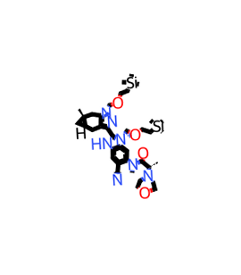 C[C@@H](C(=O)N(C)c1cc2c(cc1C#N)[nH]c(-c1nn(COCC[Si](C)(C)C)c3c1C[C@@H]1C[C@]1(C)C3)[n+]2COCC[Si](C)(C)C)N1CCOCC1